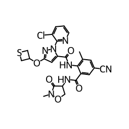 Cc1cc(C#N)cc(C(=O)NC2CON(C)C2=O)c1NC(=O)c1cc(OC2CSC2)nn1-c1ncccc1Cl